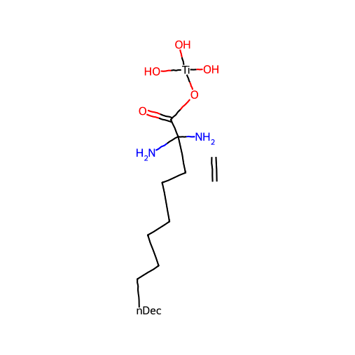 C=C.CCCCCCCCCCCCCCCCC(N)(N)C(=O)[O][Ti]([OH])([OH])[OH]